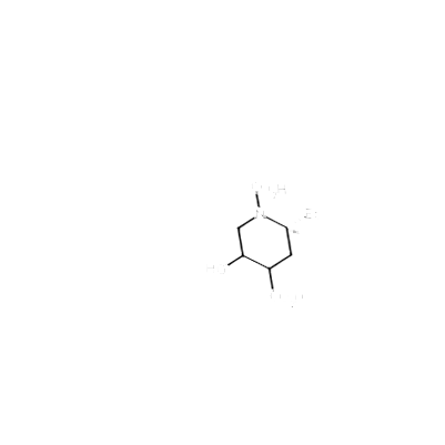 CC[C@@H]1CC(C(=O)O)C(O)CN1C(=O)O